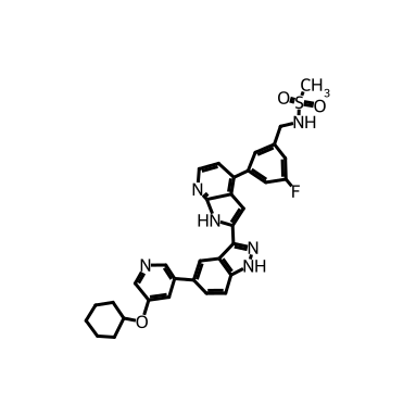 CS(=O)(=O)NCc1cc(F)cc(-c2ccnc3[nH]c(-c4n[nH]c5ccc(-c6cncc(OC7CCCCC7)c6)cc45)cc23)c1